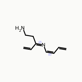 C=C/C=C\N=C(/C=C)CCN